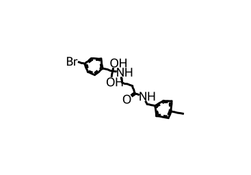 Cc1ccc(CNC(=O)CCNC(O)(O)c2ccc(Br)cc2)cc1